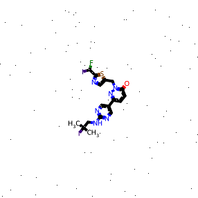 CC(C)(I)CNc1ncc(-c2ccc(=O)n(Cc3cnc(C(F)I)s3)n2)cn1